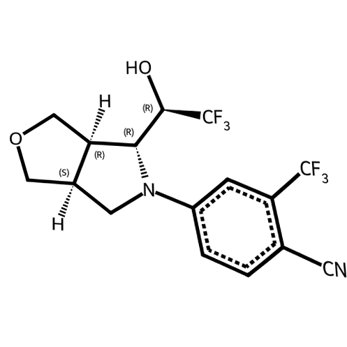 N#Cc1ccc(N2C[C@H]3COC[C@H]3[C@@H]2[C@@H](O)C(F)(F)F)cc1C(F)(F)F